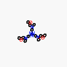 c1ccc2c(c1)oc1c2ccc2c1c1ccccc1n2-c1ccc(-c2nc(-c3ccc(-n4c5ccccc5c5c6oc7ccccc7c6ccc54)cc3)nc(-c3ccc(-n4c5ccccc5c5c6oc7ccccc7c6ccc54)cc3)n2)cc1